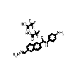 NN=Cc1ccc2cc(C(=O)Nc3ccc(N)cc3)ccc2c1.O=C(O)C(F)(F)F.O=C(O)C(F)(F)F